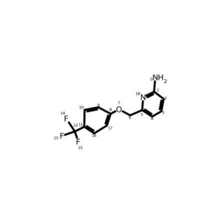 Nc1cccc(COc2ccc(C(F)(F)F)cc2)n1